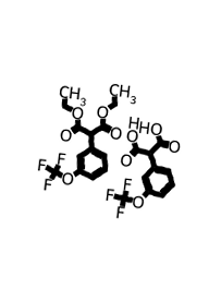 CCOC(=O)C(C(=O)OCC)c1cccc(OC(F)(F)F)c1.O=C(O)C(C(=O)O)c1cccc(OC(F)(F)F)c1